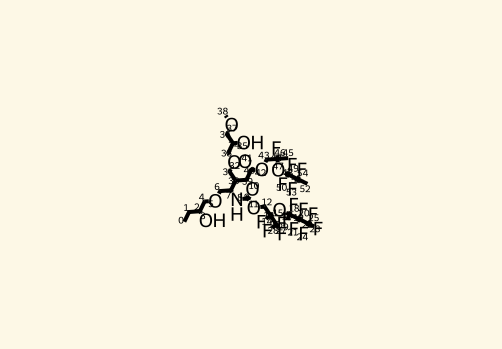 CCC(O)COCC(NC(=O)OCC(F)(OC(F)(F)C(F)(F)C(F)(F)F)C(F)(F)F)C(COCC(O)COC)CC(=O)OCC(C)(F)OC(F)(F)C(C)(F)F